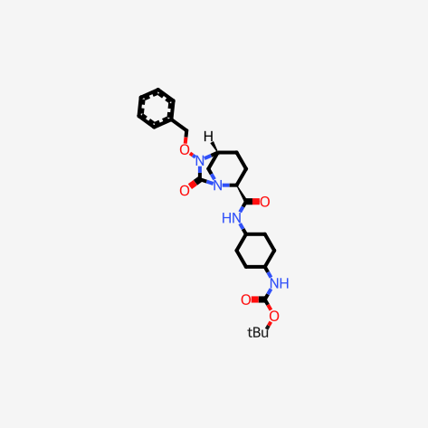 CC(C)(C)OC(=O)NC1CCC(NC(=O)[C@@H]2CC[C@@H]3CN2C(=O)N3OCc2ccccc2)CC1